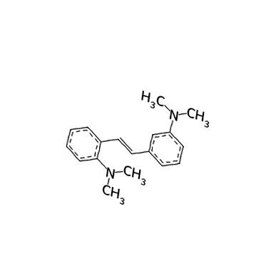 CN(C)c1cccc(C=Cc2ccccc2N(C)C)c1